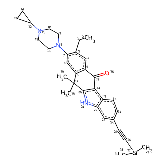 CCc1cc2c(cc1N1CCN(C3CC3)CC1)C(C)(C)c1[nH]c3cc(C#C[Si](C)(C)C)ccc3c1C2=O